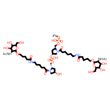 CC(=O)NC1C(OCCCCC(=O)NCCCCCC(=O)N2C[C@H](O)C[C@H]2COP(=O)(O)O[C@@H]2C[C@@H](COP(=O)(O)OC(C)C)N(C(=O)CCCCCNC(=O)CCCCOC3OC(CO)C(O)C(O)C3NC(C)=O)C2)OC(CO)C(O)C1O